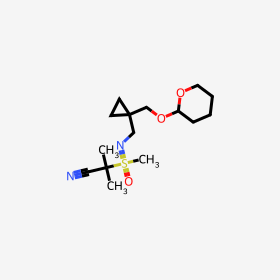 CC(C)(C#N)S(C)(=O)=NCC1(COC2CCCCO2)CC1